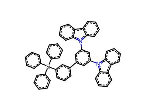 c1ccc([Si](c2ccccc2)(c2ccccc2)c2cccc(-c3cc(-n4c5ccccc5c5ccccc54)cc(-n4c5ccccc5c5ccccc54)c3)c2)cc1